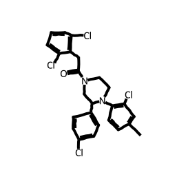 Cc1ccc(N2CCN(C(=O)Cc3c(Cl)cccc3Cl)CC2c2ccc(Cl)cc2)c(Cl)c1